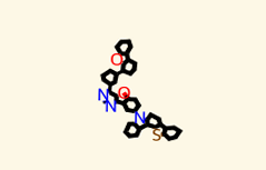 c1cc(-c2cccc3c2oc2ccccc23)cc(-c2ncnc3c2oc2ccc(-n4c5ccccc5c5c6sc7ccccc7c6ccc54)cc23)c1